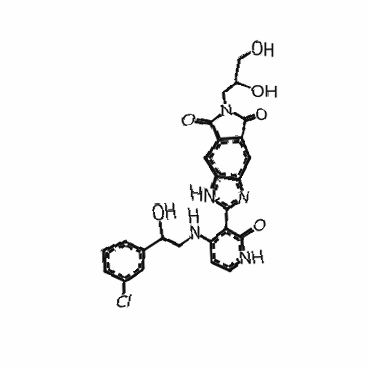 O=C1c2cc3nc(-c4c(NCC(O)c5cccc(Cl)c5)cc[nH]c4=O)[nH]c3cc2C(=O)N1CC(O)CO